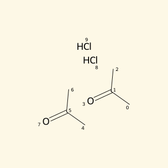 CC(C)=O.CC(C)=O.Cl.Cl